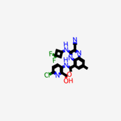 Cc1cc(C(C)Nc2ccc(Cl)nc2C(=O)O)c2nc(NC3CC(F)(F)C3)c(C#N)nc2c1